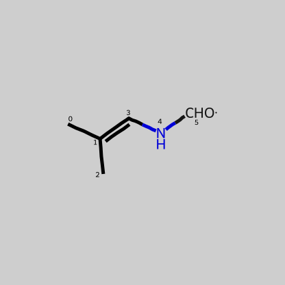 CC(C)=CN[C]=O